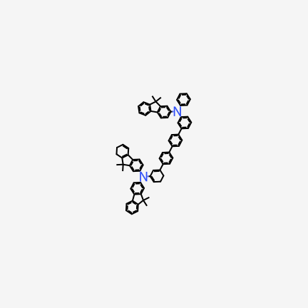 CC1(C)C2=C(C=CCC2)c2ccc(N(C3=CCCC(c4ccc(-c5ccc(-c6cccc(N(c7ccccc7)c7ccc8c(c7)C(C)(C)c7ccccc7-8)c6)cc5)cc4)=C3)c3ccc4c(c3)C(C)(C)c3ccccc3-4)cc21